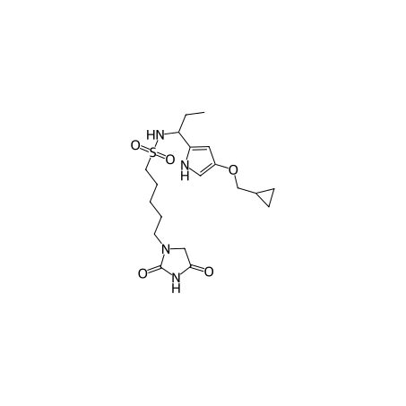 CCC(NS(=O)(=O)CCCCCN1CC(=O)NC1=O)c1cc(OCC2CC2)c[nH]1